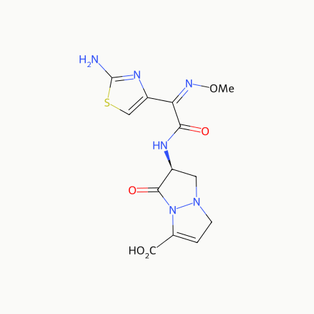 CO/N=C(\C(=O)N[C@H]1CN2CC=C(C(=O)O)N2C1=O)c1csc(N)n1